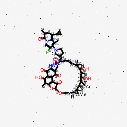 CO[C@H]1/C=C/O[C@@]2(C)Oc3c(C)c(O)c4c(c3C2=O)C(=O)C(CNC[C@H]2CCN(c3c(F)cn5c(=O)c(C)cc(C6CC6)c5c3C)C2)=C(NC(=O)/C(C)=C\C=C\[C@H](C)[C@H](O)[C@@H](C)[C@@H](O)[C@@H](C)[C@H](OC(C)=O)[C@@H]1C)C4=O